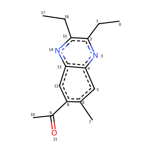 CCc1nc2cc(C)c(C(C)=O)cc2nc1CC